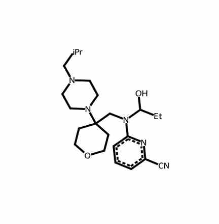 CCC(O)N(CC1(N2CCN(CC(C)C)CC2)CCOCC1)c1cccc(C#N)n1